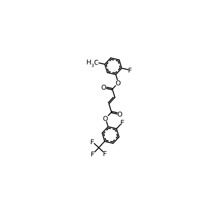 Cc1ccc(F)c(OC(=O)/C=C/C(=O)Oc2cc(C(F)(F)F)ccc2F)c1